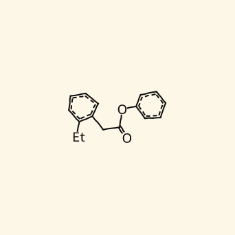 CCc1ccccc1CC(=O)Oc1ccccc1